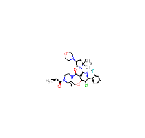 C=CC(=O)N1CCN2C(=O)c3c(N4CC(N5CCOCC5)CC4(C)C)nc(-c4ccccc4F)c(Cl)c3OC[C@H]2C1